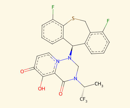 C[C@@H](N1CN([C@@H]2c3cccc(F)c3CSc3c(F)cccc32)n2ccc(=O)c(O)c2C1=O)C(F)(F)F